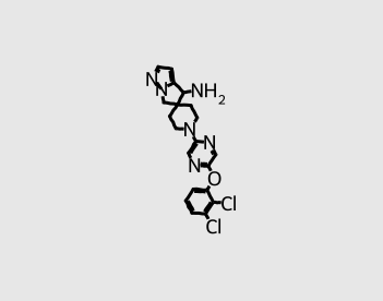 NC1c2ccnn2CC12CCN(c1cnc(Oc3cccc(Cl)c3Cl)cn1)CC2